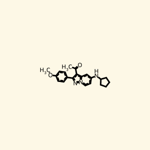 COc1ccc(-c2nn3ccc(NC4CCCC4)cc3c2C(C)=O)cc1